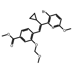 COCOc1cc(C(=O)OC)ccc1C=C(c1nc(OC)ccc1Br)C1CC1